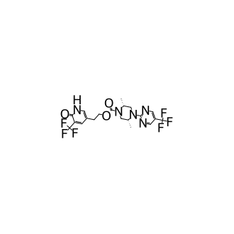 C[C@@H]1CN(c2ncc(C(F)(F)F)cn2)[C@H](C)CN1C(=O)OCCc1c[nH]c(=O)c(C(F)(F)F)c1